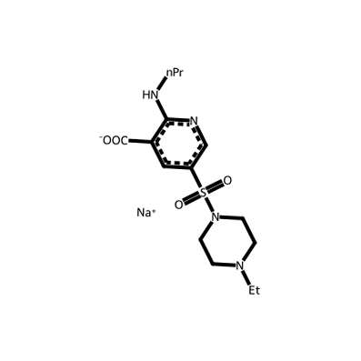 CCCNc1ncc(S(=O)(=O)N2CCN(CC)CC2)cc1C(=O)[O-].[Na+]